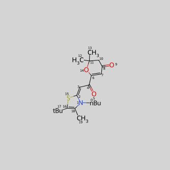 CCCCN1C(=CC(=O)C2=CC(=O)CC(C)(C)O2)SC(C(C)(C)C)=C1C